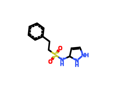 O=S(=O)(CCc1ccccc1)NC1C=CNN1